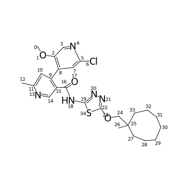 COc1cnc(Cl)cc1-c1cc(C)ncc1C(=O)Nc1nnc(OCC2(C)CCCCCCC2)s1